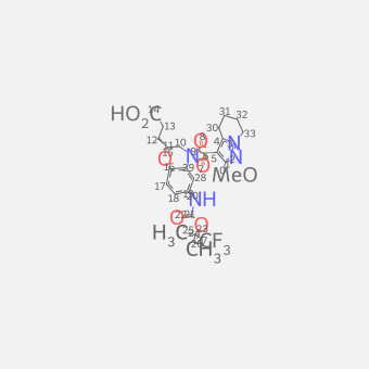 COc1nn2c(c1S(=O)(=O)N1C[C@H](CCC(=O)O)Oc3ccc(NC(=O)OC(C)(C)C(F)(F)F)cc31)CCCC2